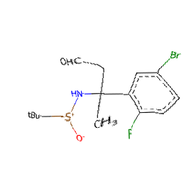 CC(CC=O)(N[S+]([O-])C(C)(C)C)c1cc(Br)ccc1F